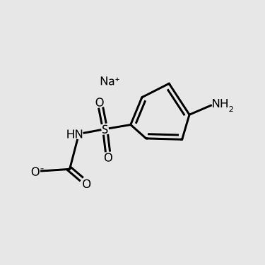 Nc1ccc(S(=O)(=O)NC(=O)[O-])cc1.[Na+]